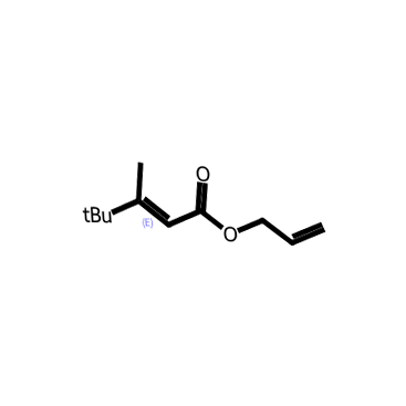 C=CCOC(=O)/C=C(\C)C(C)(C)C